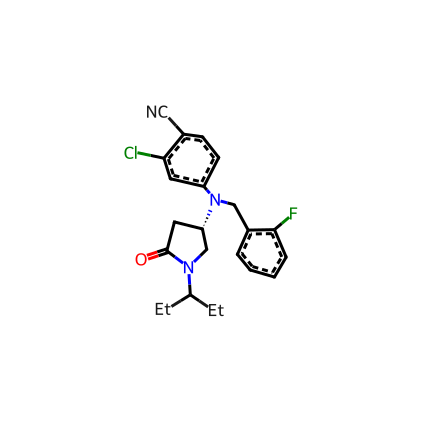 CCC(CC)N1C[C@@H](N(Cc2ccccc2F)c2ccc(C#N)c(Cl)c2)CC1=O